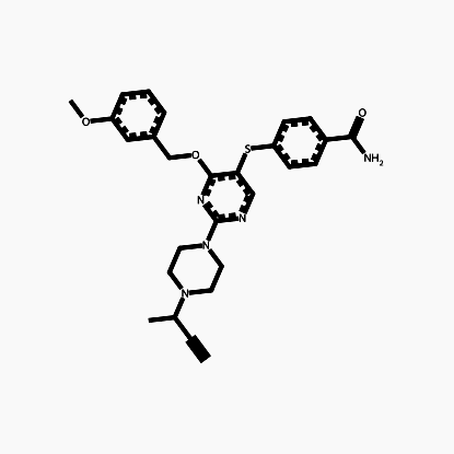 C#CC(C)N1CCN(c2ncc(Sc3ccc(C(N)=O)cc3)c(OCc3cccc(OC)c3)n2)CC1